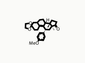 COc1ccc([C@H]2C[C@]3(C)C(=O)CC[C@@]3(C)[C@@H]3CCC4CC5(CCC4=C32)OCCO5)cc1